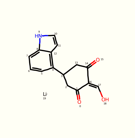 O=C1CC(c2cccc3[nH]ccc23)CC(=O)C1=CO.[Li]